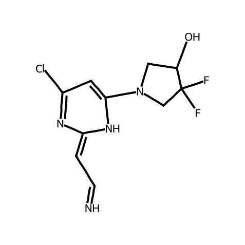 N=C/C=C1/N=C(Cl)C=C(N2CC(O)C(F)(F)C2)N1